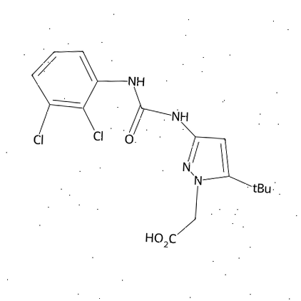 CC(C)(C)c1cc(NC(=O)Nc2cccc(Cl)c2Cl)nn1CC(=O)O